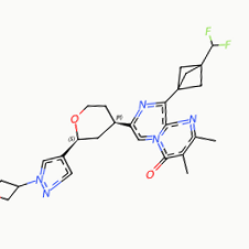 Cc1nc2c(C34CC(C(F)F)(C3)C4)nc([C@@H]3CCO[C@H](c4cnn(C5COC5)c4)C3)cn2c(=O)c1C